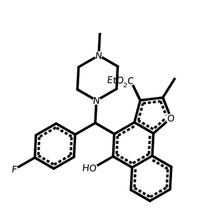 CCOC(=O)c1c(C)oc2c1c(C(c1ccc(F)cc1)N1CCN(C)CC1)c(O)c1ccccc12